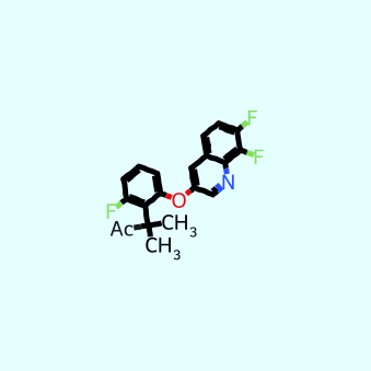 CC(=O)C(C)(C)c1c(F)cccc1Oc1cnc2c(F)c(F)ccc2c1